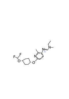 CCN(C)/C=N/c1ccc(O[C@H]2CC[C@@H](OC(F)F)CC2)nc1C